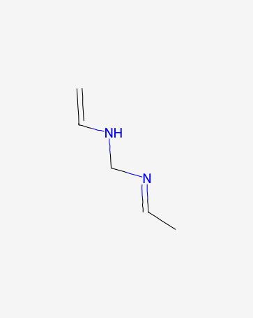 C=CNC/N=C/C